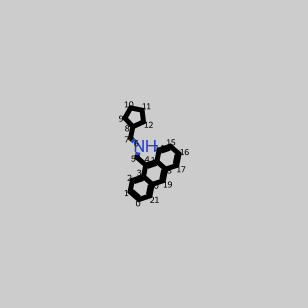 c1ccc2c(CNCC3CCCC3)c3ccccc3cc2c1